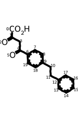 O=C(O)C(=O)CC(=O)c1ccc(CCc2ccccc2)cc1